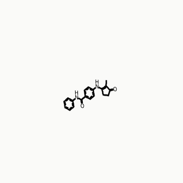 CC1=C(Nc2ccc(C(=O)Nc3ccccc3)cc2)CCC1=O